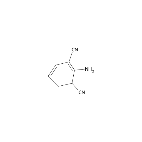 N#CC1=C(N)C(C#N)CC=C1